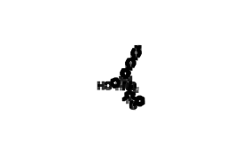 COc1ccccc1-c1nc(C)cc(C(=O)Nc2nc3cc(N4CCC(N5CCN(C)CC5)CC4)ccc3n2[C@H]2CC[C@@H](O)CC2)c1F